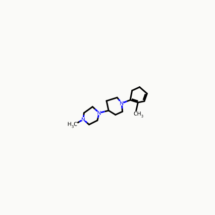 CC1=C(N2CCC(N3CCN(C)CC3)CC2)CCC=C1